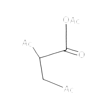 CC(=O)CC(C(C)=O)C(=O)OC(C)=O